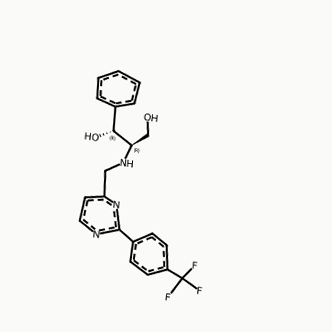 OC[C@@H](NCc1ccnc(-c2ccc(C(F)(F)F)cc2)n1)[C@H](O)c1ccccc1